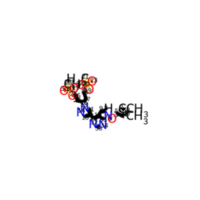 C[Si](C)(C)CCOn1ccc2c(-c3cnn(C(CCOS(C)(=O)=O)CCOS(C)(=O)=O)c3)ncnc21